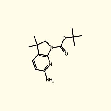 CC(C)(C)OC(=O)N1CC(C)(C)c2ccc(N)nc21